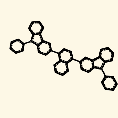 c1ccc(-n2c3ccccc3c3cc(-c4ccc(-c5ccc6c(c5)c5ccccc5n6-c5ccccc5)c5ccccc45)ccc32)cc1